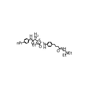 CCCc1ccc(NC(=O)[C@@H](N)C2S[C@H](CNc3ccc(CCCC(=O)NCCN(CC)CC)cc3)C(=O)N2CC)cc1